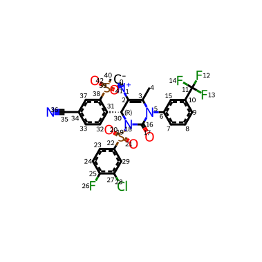 [C-]#[N+]C1=C(C)N(c2cccc(C(F)(F)F)c2)C(=O)N(S(=O)(=O)c2ccc(F)c(Cl)c2)[C@@H]1c1ccc(C#N)cc1S(C)(=O)=O